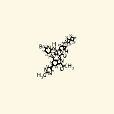 CC(=O)c1nn(CC(=O)N2[C@H](C(=O)Nc3nc(Br)ccc3C)C[C@@]3(CN4CC5(CCC5)C4)C[C@@H]23)c2c(CF)cc(-c3cnc(C)nc3)cc12